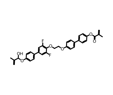 C=C(C)C(=O)Oc1ccc(-c2ccc(OCCOc3c(F)cc(-c4ccc(OC(O)C(=C)C)cc4)cc3F)cc2)cc1